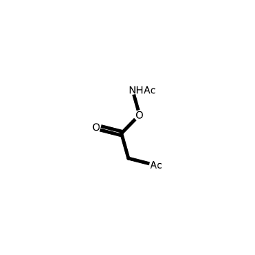 CC(=O)CC(=O)ONC(C)=O